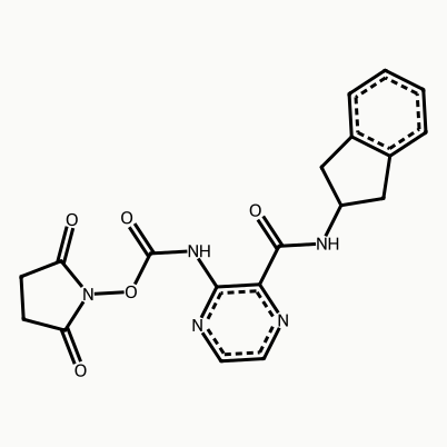 O=C(Nc1nccnc1C(=O)NC1Cc2ccccc2C1)ON1C(=O)CCC1=O